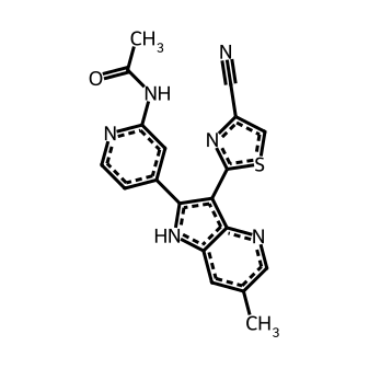 CC(=O)Nc1cc(-c2[nH]c3cc(C)cnc3c2-c2nc(C#N)cs2)ccn1